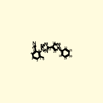 Cc1cccc(C#N)c1-n1nnc(-c2cnn(-c3ccccc3)c2)n1